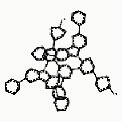 N#Cc1ccc(-c2ccc(-n3c4ccc(-c5ccccc5)cc4c4cc(-c5ccccc5)ccc43)c(-c3nc(-c4ccccc4)nc(-c4cc(-c5ccc(C#N)cc5)ccc4-n4c5ccc(-c6ccccc6)cc5c5cc(-c6ccccc6)ccc54)n3)c2)cc1